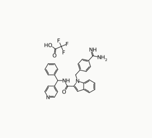 N=C(N)c1ccc(Cn2c(C(=O)NC(c3ccccc3)c3ccncc3)cc3ccccc32)cc1.O=C(O)C(F)(F)F